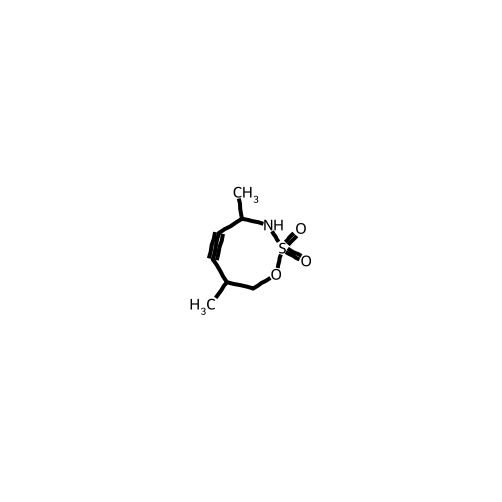 CC1C#CC(C)NS(=O)(=O)OC1